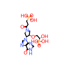 O=C(CCP(=O)(O)O)N1C[C@@H](n2cnc3c(=O)[nH]cnc32)[C@H](OC[C@H](O)P(=O)(O)O)C1